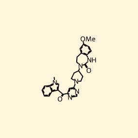 COc1ccc2c(c1)CCN(C1CCN(c3cc(C(=O)c4cn(C)c5ccccc45)ncn3)CC1)C(=O)N2